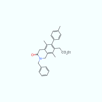 CCOC(=O)Cc1c(C)c2c(c(C)c1-c1ccc(C)cc1)CC(=O)N(Cc1ccccc1)C2